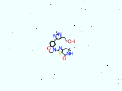 Cc1nc(CCO)cc(-c2ccc3c(c2)N(c2nc4c(s2)C(=O)NC(C)(C)C4)CCO3)n1